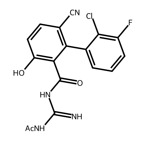 CC(=O)NC(=N)NC(=O)c1c(O)ccc(C#N)c1-c1cccc(F)c1Cl